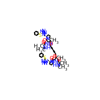 CN[C@@H](C)C(=O)N[C@H](C(=O)N1CCC[C@H]1Cn1nnnc1Sc1ccccc1)C(C)OCC#CC#CCOC(C)[C@H](NC(=O)[C@H](C)NC)C(=O)N1CCC[C@H]1Cn1nnnc1Sc1ccccc1